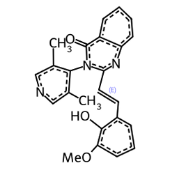 COc1cccc(/C=C/c2nc3ccccc3c(=O)n2-c2c(C)cncc2C)c1O